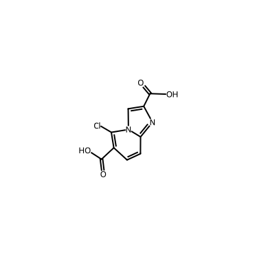 O=C(O)c1cn2c(Cl)c(C(=O)O)ccc2n1